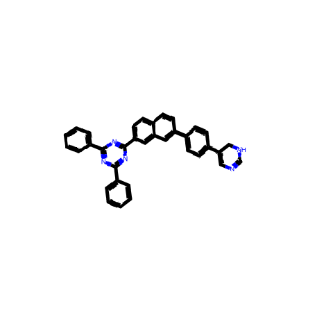 C1=NC=C(c2ccc(-c3ccc4ccc(-c5nc(-c6ccccc6)nc(-c6ccccc6)n5)cc4c3)cc2)CN1